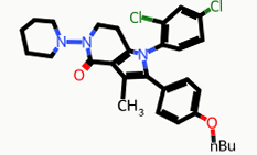 CCCCOc1ccc(-c2c(C)c3c(n2-c2ccc(Cl)cc2Cl)CCN(N2CCCCC2)C3=O)cc1